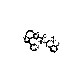 NCC(Cc1cccc(F)c1)NC(=O)c1cc2c(s1)CCCn1ncc(-c3cccnc3)c1-2